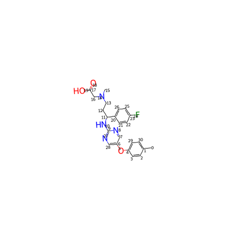 Cc1ccc(Oc2cnc(NC(CCN(C)CC(=O)O)c3ccc(F)cc3)nc2)cc1